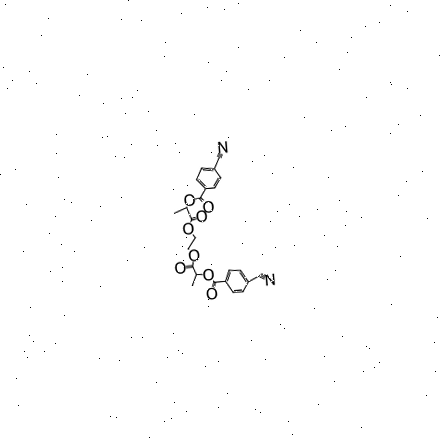 CC(OC(=O)c1ccc(C#N)cc1)C(=O)OCCOC(=O)C(C)OC(=O)c1ccc(C#N)cc1